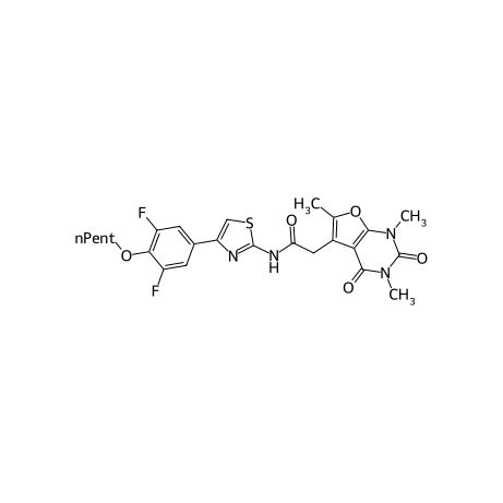 CCCCCOc1c(F)cc(-c2csc(NC(=O)Cc3c(C)oc4c3c(=O)n(C)c(=O)n4C)n2)cc1F